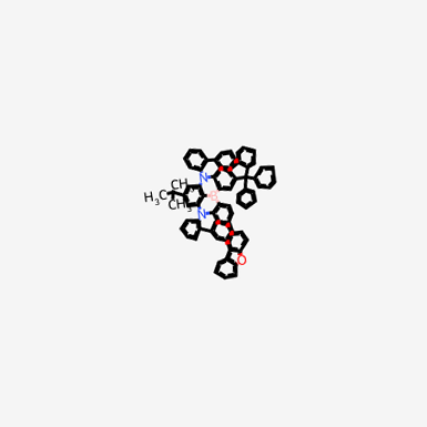 CC(C)(C)c1cc2c3c(c1)N(c1ccccc1-c1ccccc1)c1cc4c(cc1B3c1ccc(-c3ccc5oc6ccccc6c5c3)cc1N2c1ccccc1-c1ccccc1)C(c1ccccc1)(c1ccccc1)c1ccccc1-4